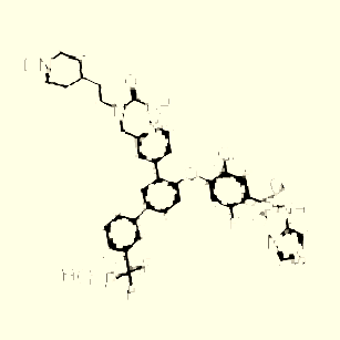 Cl.O=C(O)N(CCC1CCNCC1)Cc1cc(-c2cc(-c3cccc(C(F)(F)F)c3)ccc2Oc2cc(F)c(S(=O)(=O)Nc3cscn3)cc2Cl)ccn1